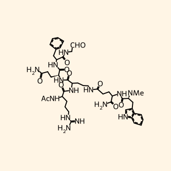 CN[C@@H](Cc1c[nH]c2ccccc12)C(=O)NC(CCC(=O)NCCCC(NC(=O)C(CCCNC(=N)N)NC(C)=O)C(=O)N[C@@H](CCC(N)=O)C(=O)NC(Cc1ccccc1)C(=O)NCC=O)C(N)=O